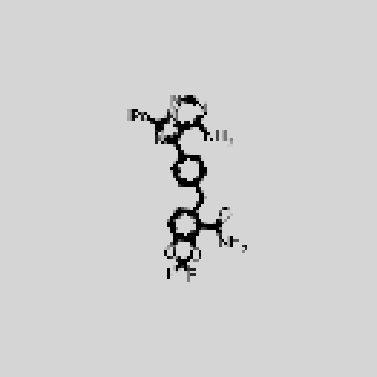 CC(C)c1nc(-c2ccc(Cc3ccc4c(c3C(N)=O)OC(F)(F)O4)cc2)c2c(N)ncnn12